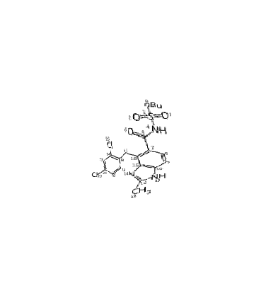 CCCCS(=O)(=O)NC(=O)c1ccc2[nH]c(C)nc2c1Cc1ccc(Cl)cc1Cl